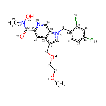 COCCOCc1cn(Cc2ccc(F)cc2F)c2cnc(C(=O)N(C)O)cc12